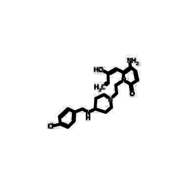 C=C/C(O)=C\c1c(N)ccc(=O)n1CCN1CCC(NCc2ccc(Cl)cc2)CC1